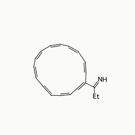 CCC(=N)C1=C/C=C\C=C/C=C\C=C/C=C\C=C/C=C\1